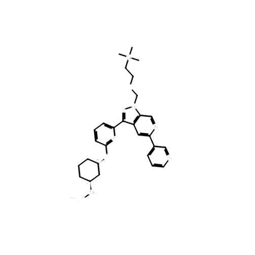 C[Si](C)(C)CCOCn1nc(-c2cccc(O[C@@H]3CCC[C@H](NC(=O)O)C3)n2)c2cc(-c3cccnc3)ncc21